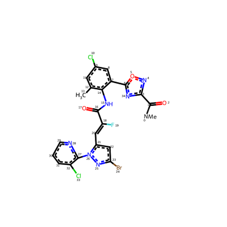 CNC(=O)c1noc(-c2cc(Cl)cc(C)c2NC(=O)C(F)=Cc2cc(Br)nn2-c2ncccc2Cl)n1